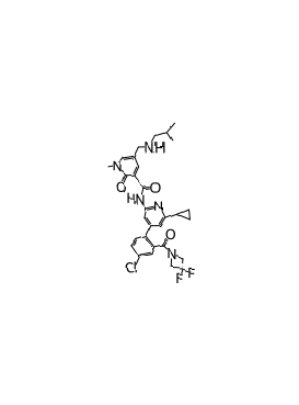 CC(C)CNCc1cc(C(=O)Nc2cc(-c3ccc(Cl)cc3C(=O)N3CC(F)(F)C3)cc(C3CC3)n2)c(=O)n(C)c1